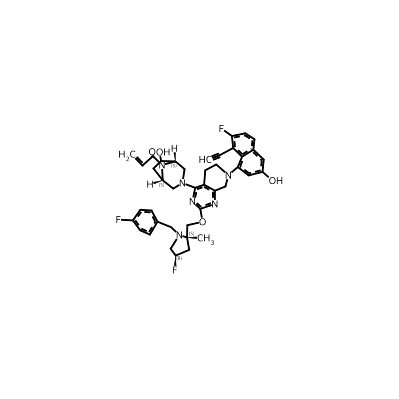 C#Cc1c(F)ccc2cc(O)cc(N3CCc4c(nc(OC[C@]5(C)C[C@@H](F)CN5Cc5ccc(F)cc5)nc4N4C[C@@H]5CC(O)[C@H](C4)N5C(=O)C=C)C3)c12